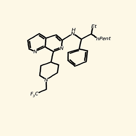 CCCCCC(CC)C(Nc1cc2cccnc2c(C2CCN(CC(F)(F)F)CC2)n1)c1ccccc1